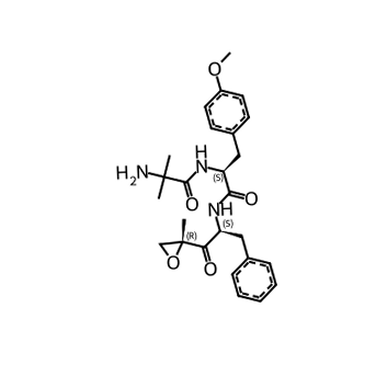 COc1ccc(C[C@H](NC(=O)C(C)(C)N)C(=O)N[C@@H](Cc2ccccc2)C(=O)[C@@]2(C)CO2)cc1